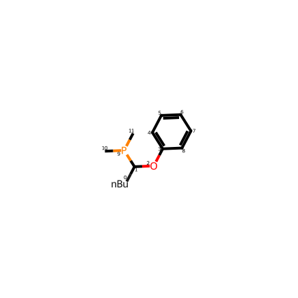 CCCCC(Oc1ccccc1)P(C)C